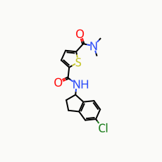 CN(C)C(=O)c1ccc(C(=O)NC2CCc3cc(Cl)ccc32)s1